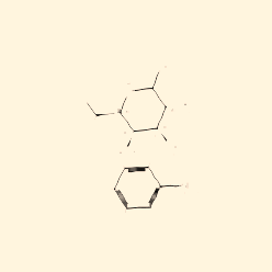 Nc1ccccc1.OC[C@H]1OC(O)[C@H](O)[C@@H](O)[C@H]1O